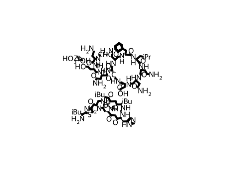 CC(C)CC1NC(=O)C(Cc2ccccc2)NC(=O)C(CCN)NC(=O)C(NC(=O)C(CCN)NC(=O)C(CCO)NC(=O)C(CCN)NC=O)CCNC(=O)C(CCO)NC(=O)C(CCN)NC(=O)C(CCN)NC1=O.CCN[C@@H](CC(N)=O)C(=O)CC(=O)[C@H](Cc1cnc[nH]1)NCN[C@H](C(=O)CCC(=O)[C@@H](NCCC(=O)C1CSC(C(N)C(C)CC)=N1)[C@H](C)CC)[C@H](C)CC.O=S(=O)(O)O.[Zn]